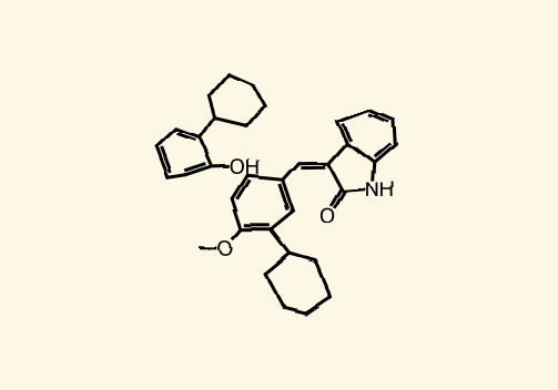 COc1ccc(C=C2C(=O)Nc3ccccc32)cc1C1CCCCC1.Oc1ccccc1C1CCCCC1